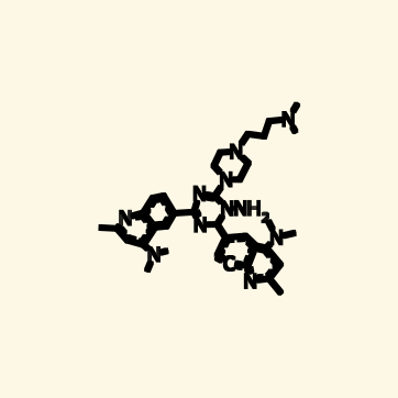 Cc1cc(N(C)C)c2cc(C3=NC(c4ccc5nc(C)cc(N(C)C)c5c4)N(N)C(N4CCN(CCCN(C)C)CC4)=N3)ccc2n1